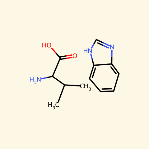 CC(C)C(N)C(=O)O.c1ccc2[nH]cnc2c1